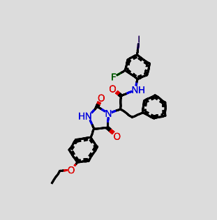 CCOc1ccc(C2NC(=O)N(C(Cc3ccccc3)C(=O)Nc3ccc(I)cc3F)C2=O)cc1